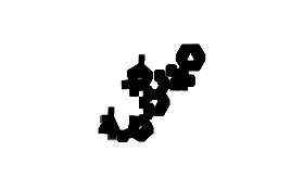 C[C@@H]1CN(c2nc(-n3ccc(O[C@@H]4C[C@@H]4C)n3)ccc2C(=O)NS(=O)(=O)c2ccccc2)C(C)(C)C1